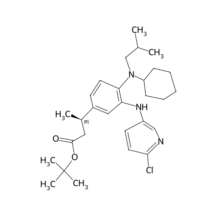 CC(C)CN(c1ccc([C@H](C)CC(=O)OC(C)(C)C)cc1Nc1ccc(Cl)nc1)C1CCCCC1